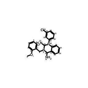 COc1ccccc1CN1C(N)c2ccccc2N(c2cccc(Cl)c2)C1N